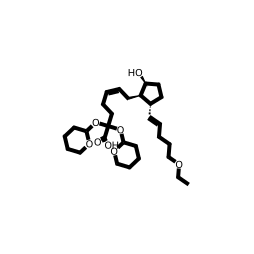 CCOCCC/C=C/[C@H]1CC[C@H](O)[C@@H]1C/C=C\CCC(OC1CCCCO1)(OC1CCCCO1)C(=O)O